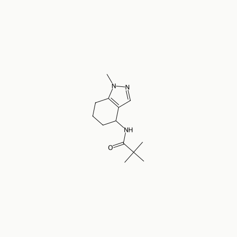 Cn1ncc2c1CCCC2NC(=O)C(C)(C)C